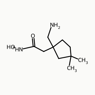 CC1(C)CCC(CN)(CC(=O)NO)C1